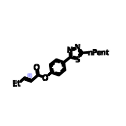 CC/C=C/C(=O)Oc1ccc(-c2nnc(CCCCC)s2)cc1